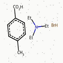 Br.CCN(CC)CC.Cc1ccc(C(=O)O)cc1